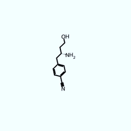 N#Cc1ccc(C[C@@H](N)CCO)cc1